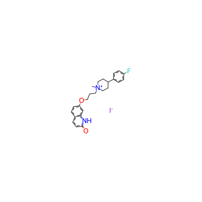 C[N+]1(CCCOc2ccc3ccc(=O)[nH]c3c2)CCC(c2ccc(F)cc2)CC1.[I-]